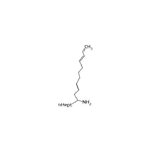 C=C/C=C/CCCCCCC(N)CCCCCCC